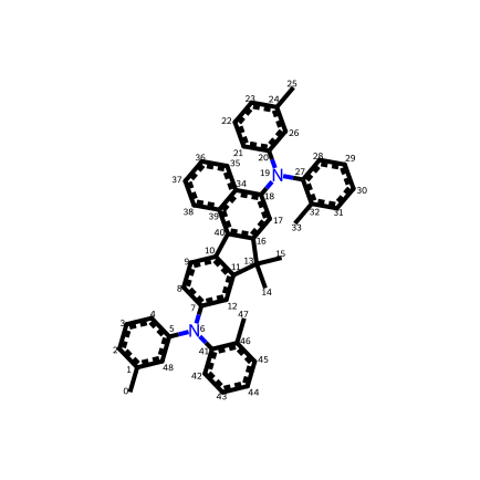 Cc1cccc(N(c2ccc3c(c2)C(C)(C)c2cc(N(c4cccc(C)c4)c4ccccc4C)c4ccccc4c2-3)c2ccccc2C)c1